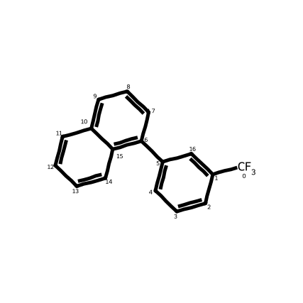 FC(F)(F)c1cccc(-c2[c]ccc3ccccc23)c1